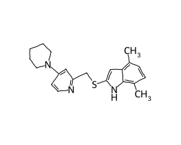 Cc1ccc(C)c2[nH]c(SCc3cc(N4CCCCC4)ccn3)cc12